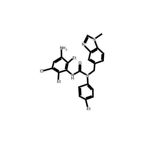 CCc1ccc(N(Cc2ccc3c(c2)ncn3C)C(=O)Nc2c(CC)c(N)cc(Cl)c2CC)cc1